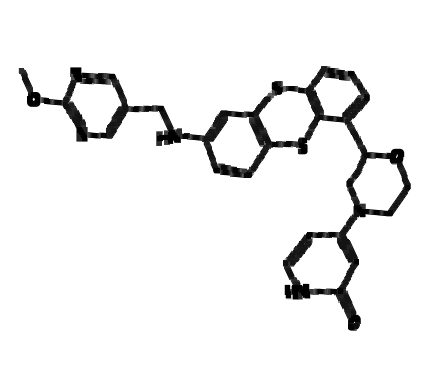 COc1ncc(CNc2ccc3c(c2)Sc2cccc(C4CN(c5cc[nH]c(=O)c5)CCO4)c2S3)cn1